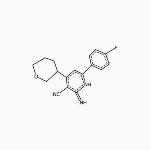 N#Cc1c(C2CCCOC2)cc(-c2ccc(F)cc2)[nH]c1=N